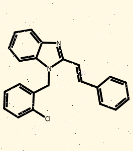 Clc1ccccc1Cn1c(/C=C/c2ccccc2)nc2ccccc21